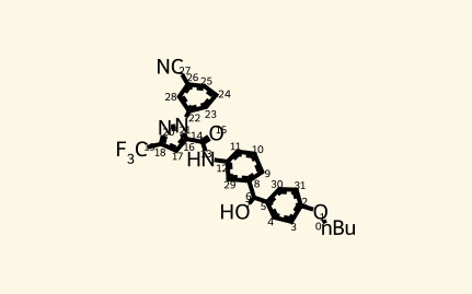 CCCCOc1ccc(C(O)c2cccc(NC(=O)c3cc(C(F)(F)F)nn3-c3cccc(C#N)c3)c2)cc1